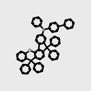 c1ccc(-c2ccc(N(c3ccccc3)c3ccc4c(c3)C(c3ccccc3)(c3ccccc3)c3ccc5c(c3-4)Oc3ccccc3C5(c3ccccc3)c3ccccc3)cc2)cc1